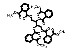 COC(=O)c1ccccc1C(=O)OCC(OC(=O)c1ccccc1C(=O)OC)C(COC(=O)c1ccccc1C(=O)OC)OC(=O)c1ccccc1C(=O)OC